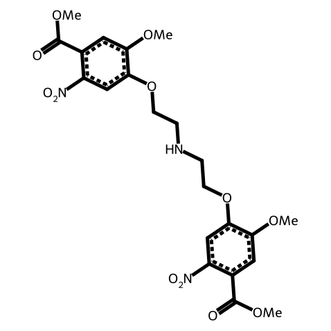 COC(=O)c1cc(OC)c(OCCNCCOc2cc([N+](=O)[O-])c(C(=O)OC)cc2OC)cc1[N+](=O)[O-]